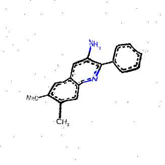 COc1cc2cc(N)c(-c3ccccc3)nc2cc1C